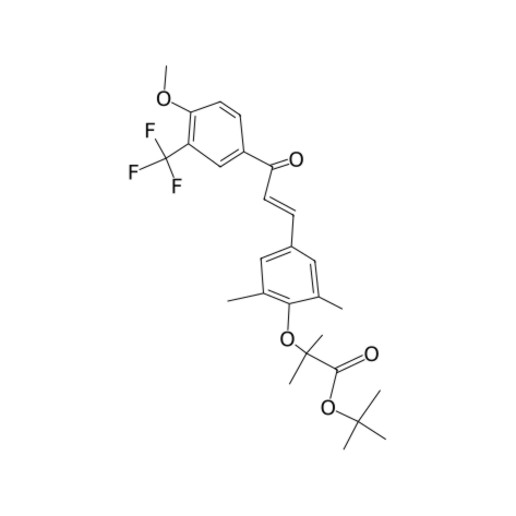 COc1ccc(C(=O)/C=C/c2cc(C)c(OC(C)(C)C(=O)OC(C)(C)C)c(C)c2)cc1C(F)(F)F